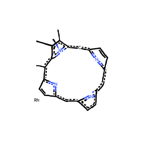 Cc1c(C)c2c(C)c3nc(cc4ccc(cc5nc(cc1n2C)C=C5)[nH]4)C=C3.[Rh]